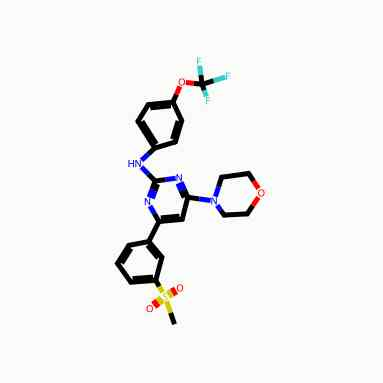 CS(=O)(=O)c1cccc(-c2cc(N3CCOCC3)nc(Nc3ccc(OC(F)(F)F)cc3)n2)c1